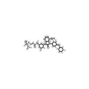 Cc1cc(N(C)C(=O)/C=C/C[N+](C)([O-])C2CC2)cc(-n2c(=O)n(-c3ccc(Oc4ccccc4)cc3)c3c(N)ncnc32)c1